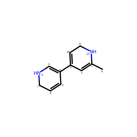 CC1=CC(C2=CNCC=C2)=CCN1